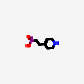 O=[PH](O)CCC1=CCNCC1